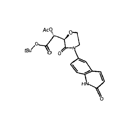 CC(=O)O[C@@H](C(=O)OC(C)(C)C)[C@H]1OCCN(c2ccc3[nH]c(=O)ccc3c2)C1=O